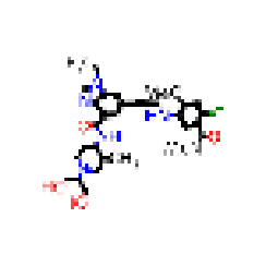 CNC(=O)c1cc(NCC#Cc2cc(C(=O)N[C@H]3CCN(C(CO)CO)C[C@@H]3C)c3ncn(CC(F)(F)F)c3c2)c(OC)cc1F